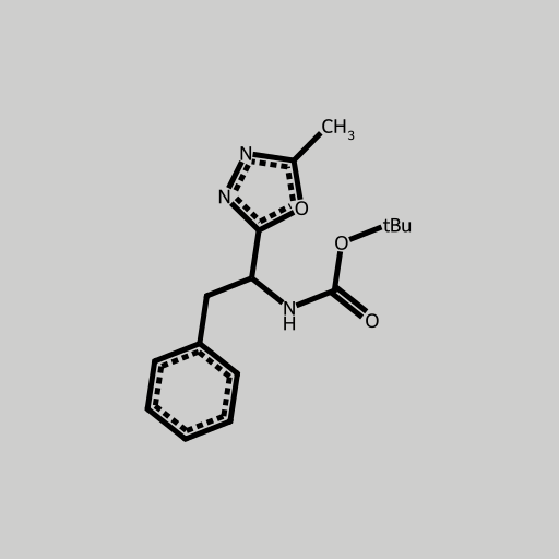 Cc1nnc(C(Cc2ccccc2)NC(=O)OC(C)(C)C)o1